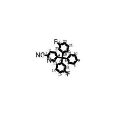 N#Cc1ccc(C(c2ccccc2)(c2cccc(F)c2)c2cccc(F)c2)cn1